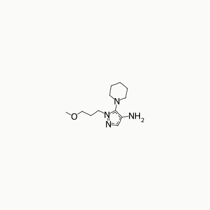 COCCCn1ncc(N)c1N1CCCCC1